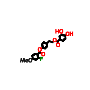 COc1ccc(C(=O)Oc2ccc(CCOC(=O)c3ccc(O)c(O)c3)cc2)c(F)c1